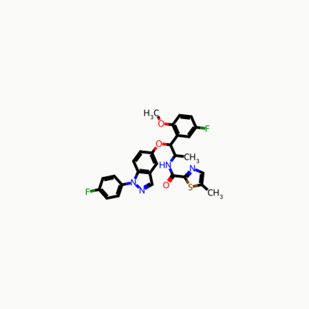 COc1ccc(F)cc1C(Oc1ccc2c(cnn2-c2ccc(F)cc2)c1)C(C)NC(=O)c1ncc(C)s1